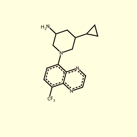 NC1CC(C2CC2)CN(c2ccc(C(F)(F)F)c3nccnc23)C1